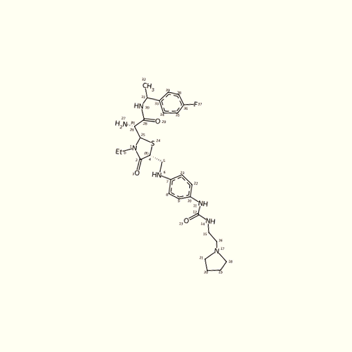 CCN1C(=O)[C@@H](CNc2ccc(NC(=O)NCCN3CCCC3)cc2)SC1[C@H](N)C(=O)NC(C)c1ccc(F)cc1